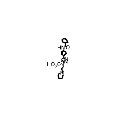 O=C(Nc1ccc(-c2nnc(N(CCCN3CCCCC3)C(=O)O)o2)cc1)c1ccccc1